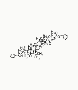 CC(C)C1=C2[C@H]3CC[C@@H]4[C@@]5(C)CC[C@H](OC(=O)[C@H]6C[C@@H](C(=O)OCc7ccccc7)C6(C)C)C(C)(C)[C@@H]5CC[C@@]4(C)[C@]3(C)CC[C@@]2(NC(=O)NC(C)(C)c2ncc(-c3ccccc3)[nH]2)CC1=O